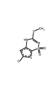 CSC1=NS(=O)(=O)c2sc(Cl)cc2N1